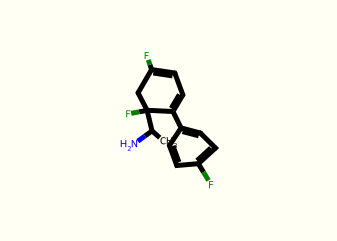 CC(N)C1(F)CC(F)=CC=C1c1ccc(F)cc1